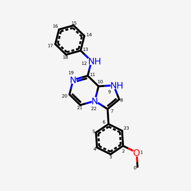 COc1cccc(C2=CNC3C(Nc4ccccc4)=NC=CN23)c1